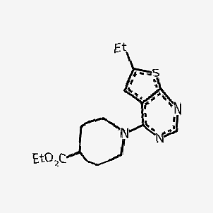 CCOC(=O)C1CCN(c2ncnc3sc(CC)cc23)CC1